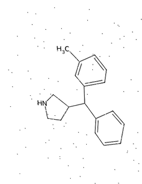 Cc1cccc(C(c2ccccc2)C2CCNC2)c1